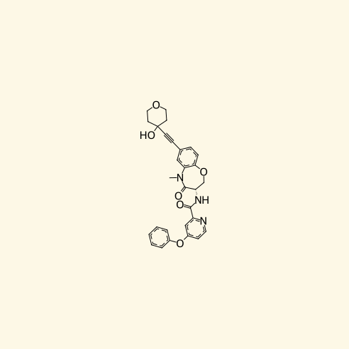 CN1C(=O)[C@@H](NC(=O)c2cc(Oc3ccccc3)ccn2)COc2ccc(C#CC3(O)CCOCC3)cc21